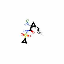 C=C[C@@H]1C[C@]1(NCl)C(=O)NS(=O)(=O)C1CC1